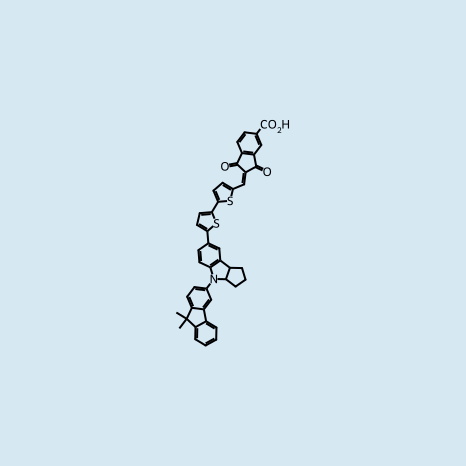 CC1(C)c2ccccc2-c2cc(N3c4ccc(-c5ccc(-c6ccc(/C=C7\C(=O)c8ccc(C(=O)O)cc8C7=O)s6)s5)cc4C4CCCC43)ccc21